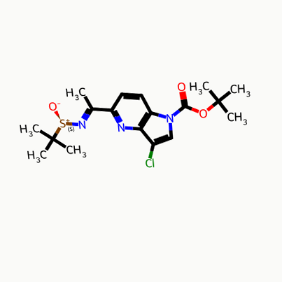 CC(=N[S@+]([O-])C(C)(C)C)c1ccc2c(n1)c(Cl)cn2C(=O)OC(C)(C)C